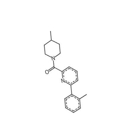 Cc1ccccc1-c1cccc(C(=O)N2CCC(C)CC2)n1